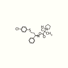 CC(C)(C(=O)O/N=C(\CCSc1ccc(Cl)cc1)c1ccccc1)N1CCCC1